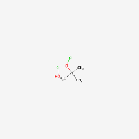 CC(C)(C)OCl.OCl